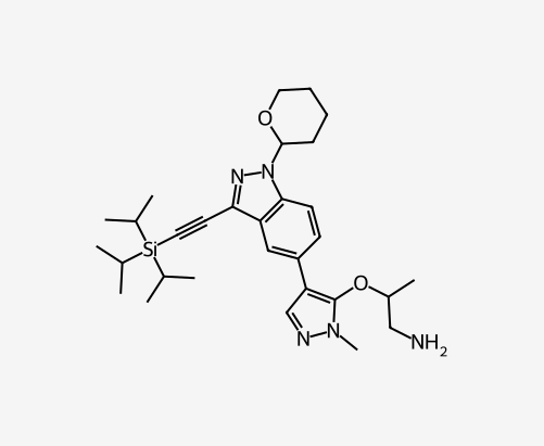 CC(CN)Oc1c(-c2ccc3c(c2)c(C#C[Si](C(C)C)(C(C)C)C(C)C)nn3C2CCCCO2)cnn1C